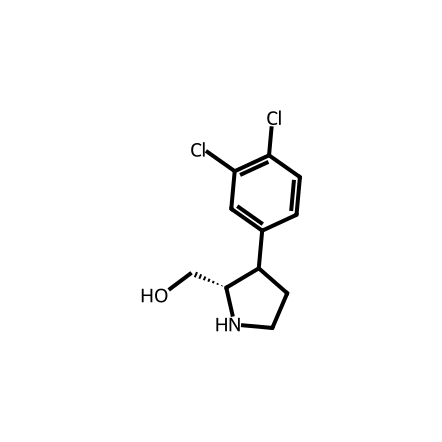 OC[C@H]1NCCC1c1ccc(Cl)c(Cl)c1